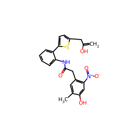 C=C(O)Cc1ccc(-c2ccccc2NC(=O)Cc2cc(C)c(O)cc2[N+](=O)[O-])s1